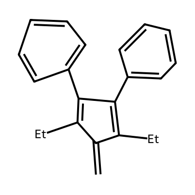 C=C1C(CC)=C(c2ccccc2)C(c2ccccc2)=C1CC